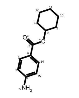 Nc1ccc(C(=O)OC2CCCCC2)cc1